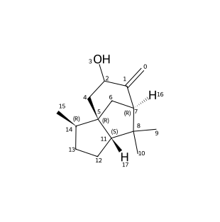 C=C1C(O)C[C@@]23C[C@@H]1C(C)(C)[C@@H]2CC[C@H]3C